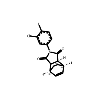 O=C1C2[C@@H]3C=C[C@@H](CC3)[C@@H]2C(=O)N1c1ccc(I)c(Cl)c1